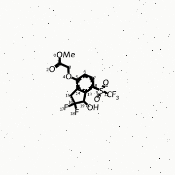 COC(=O)COc1ccc(S(=O)(=O)C(F)(F)F)c2c1CC(F)(F)C2O